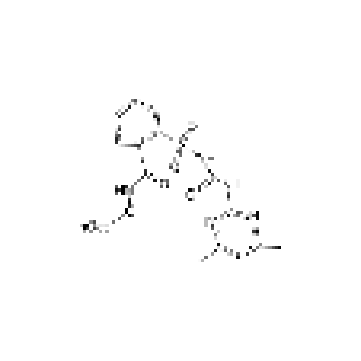 CCCCCCCCONC(=O)c1ccccc1S(=O)(=O)NC(=O)Nc1nc(C)cc(C)n1